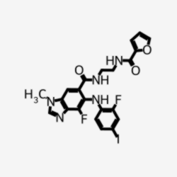 Cn1cnc2c(F)c(Nc3ccc(I)cc3F)c(C(=O)NCCNC(=O)c3ccco3)cc21